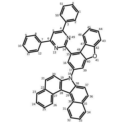 c1ccc(-c2cc(-c3ccccc3)nc(-c3cc(-n4c5ccc6ccccc6c5c5c6ccccc6ccc54)cc4oc5ccccc5c34)n2)cc1